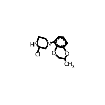 CC1COc2c(cccc2N2CCNC(Cl)C2)O1